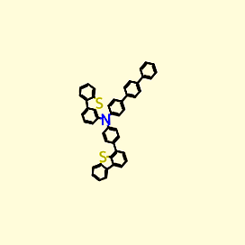 c1ccc(-c2ccc(-c3ccc(N(c4ccc(-c5cccc6c5sc5ccccc56)cc4)c4cccc5c4sc4ccccc45)cc3)cc2)cc1